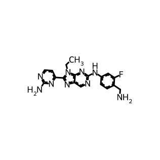 CCn1c(-c2ccnc(N)n2)nc2cnc(Nc3ccc(CN)c(F)c3)nc21